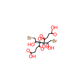 O=C(O)CCC(=O)[C@@](O)([C@@H](O)CBr)[C@](O)(C(=O)CCC(=O)O)[C@H](O)CBr